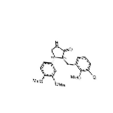 COc1ccc([C@@H]2CNC(=O)[C@H]2Cc2cccc(Cl)c2OC)cc1OC